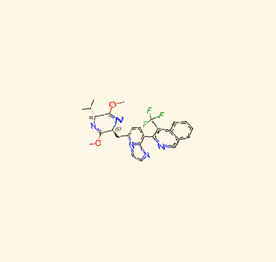 COC1=N[C@H](C(C)C)C(OC)=N[C@H]1Cc1ccc(-c2ncc3ccccc3c2C(F)(F)F)c2nccn12